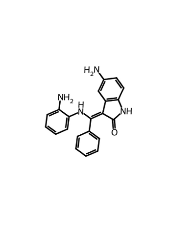 Nc1ccc2c(c1)C(=C(Nc1ccccc1N)c1ccccc1)C(=O)N2